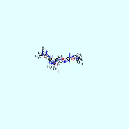 CC(C)CNC(=O)[C@H](CC(C)C)NC(=O)Nc1ccc(NC(=O)N[C@@H](CC(C)C)C(=O)NCC(C)CCC(C)CNC(=O)[C@H](CC(C)C)NC(=S)Nc2ccc(NC(=S)N[C@@H](CC(C)C)C(=O)NCC(C)C)cc2)cc1